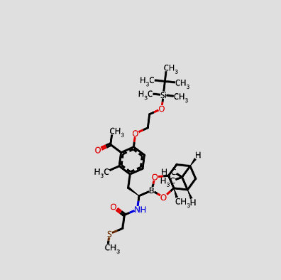 CSCC(=O)N[C@@H](Cc1ccc(OCCO[Si](C)(C)C(C)(C)C)c(C(C)=O)c1C)B1OC2C[C@@H]3C[C@@H](C3(C)C)[C@]2(C)O1